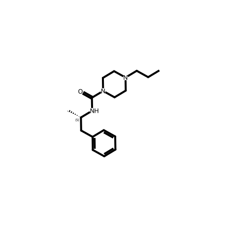 [CH2][C@@H](Cc1ccccc1)NC(=O)N1CCN(CCC)CC1